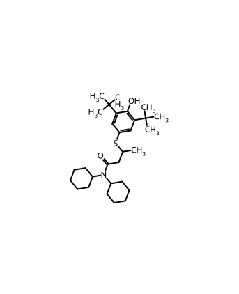 CC(CC(=O)N(C1CCCCC1)C1CCCCC1)Sc1cc(C(C)(C)C)c(O)c(C(C)(C)C)c1